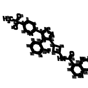 CS(=O)(=O)c1ccc(-c2nnc(C3CC(NC(=O)c4ccnc5cccnc45)C3)n2-c2ccccc2F)nc1